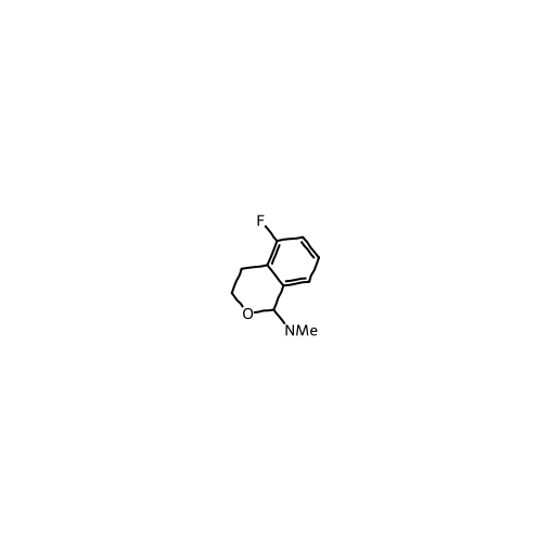 CNC1OCCc2c(F)cccc21